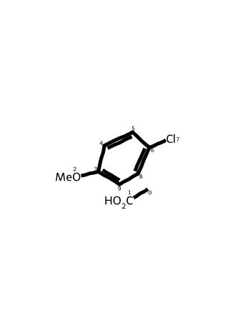 CC(=O)O.COc1ccc(Cl)cc1